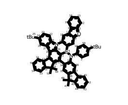 CC(C)(C)c1ccc(N2B3c4cc5oc6ccccc6c5cc4-n4c5ccc(C(C)(C)C)cc5c5c6c(c(c3c54)-c3cc4c(cc32)-c2ccccc2C4(C)C)C(C)(C)c2ccccc2-6)cc1